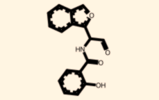 O=CC(NC(=O)c1ccccc1O)c1occ2ccccc12